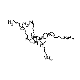 C[C@H](CCCOCCCN)C1CC[C@H]2C3[C@H](OCCCN)CC4C[C@H](OCCCN)CC[C@]4(C)[C@H]3C[C@H](OCCCN)C12C